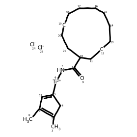 CC1=C(C)C[C]([Ti+2][NH]C(=O)C2CCCCCCCCCCC2)=C1.[Cl-].[Cl-]